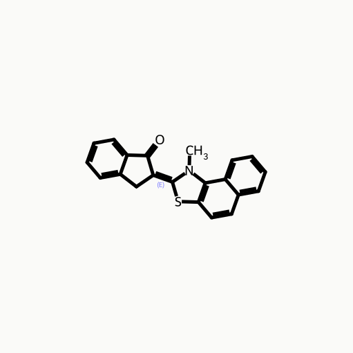 CN1/C(=C2/Cc3ccccc3C2=O)Sc2ccc3ccccc3c21